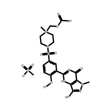 CCCc1nn(C)c2c(=O)nc(-c3cc(S(=O)(=O)N4CC[N+](C)(COC(=O)C(C)C)CC4)ccc3OCC)[nH]c12.CS(=O)(=O)[O-]